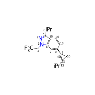 CC(C)c1nn(CC(F)(F)F)c2cc([C@H]3C[C@@H]3C(C)C)ccc12